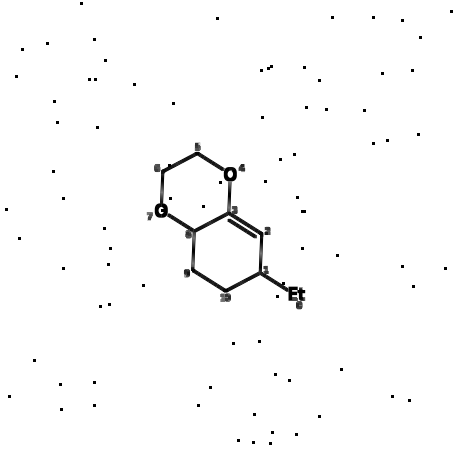 CCC1C=C2OCCOC2CC1